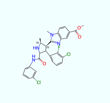 COC(=O)c1ccc2c(c1)nc([C@H]1C(c3cccc(Cl)c3F)C(C(=O)Nc3cccc(Cl)c3)N[C@H]1C)n2C